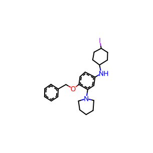 IC1CCC(Nc2ccc(OCc3ccccc3)c(N3CCCCC3)c2)CC1